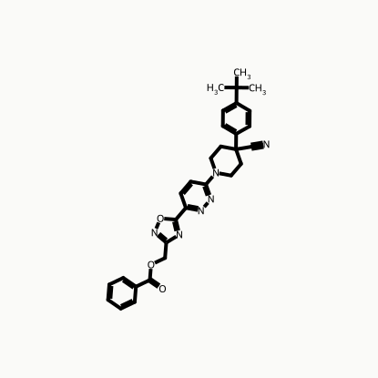 CC(C)(C)c1ccc(C2(C#N)CCN(c3ccc(-c4nc(COC(=O)c5ccccc5)no4)nn3)CC2)cc1